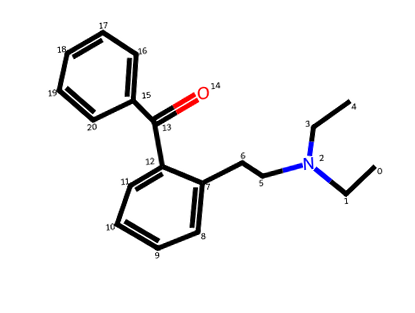 CCN(CC)CCc1ccccc1C(=O)c1ccccc1